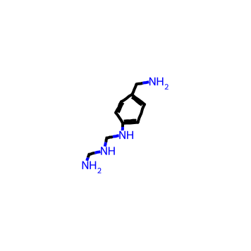 NCNCNc1ccc(CN)cc1